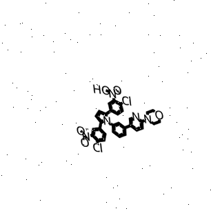 O=[N+]([O-])c1cc(-c2ccc(-c3ccc(Cl)c([N+](=O)O)c3)n2-c2cccc(-c3ccc(N4CCOCC4)nc3)c2)ccc1Cl